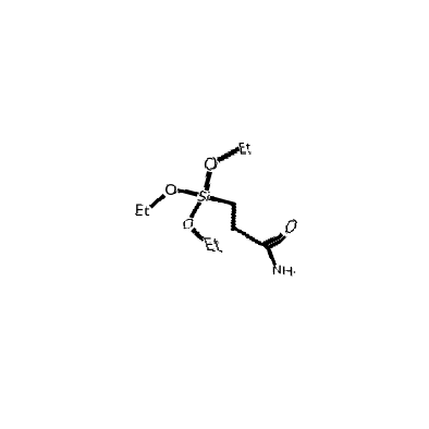 CCO[Si](CCC([NH])=O)(OCC)OCC